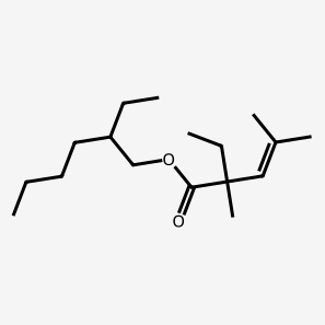 CCCCC(CC)COC(=O)C(C)(C=C(C)C)CC